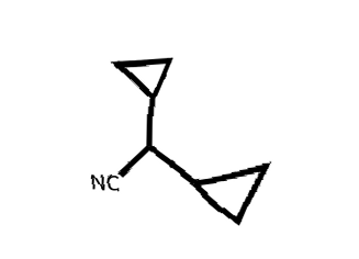 N#CC(C1CC1)C1CC1